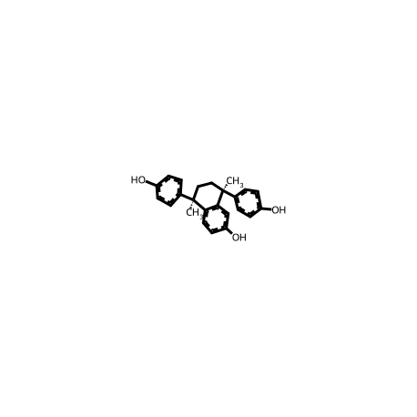 C[C@@]1(c2ccc(O)cc2)CC[C@](C)(c2ccc(O)cc2)c2ccc(O)cc21